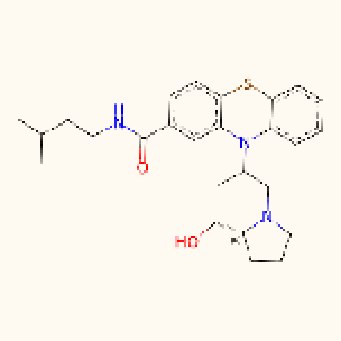 CC(C)CCNC(=O)c1ccc2c(c1)N(C(C)CN1CCC[C@@H]1CO)c1ccccc1S2